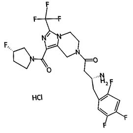 Cl.N[C@@H](CC(=O)N1CCn2c(C(F)(F)F)nc(C(=O)N3CC[C@H](F)C3)c2C1)Cc1cc(F)c(F)cc1F